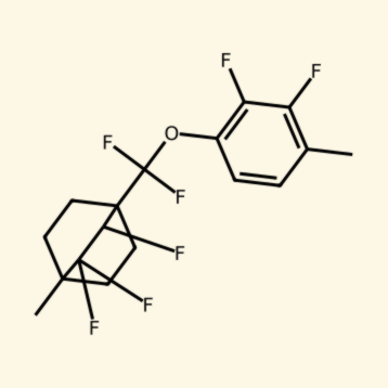 Cc1ccc(OC(F)(F)C23CCC(C)(CC2)C(F)(F)C3F)c(F)c1F